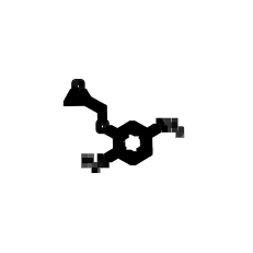 Nc1ccc(N)c(OCC2CO2)c1